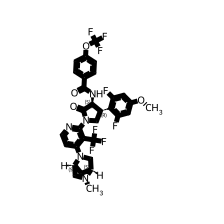 COc1cc(F)c([C@@H]2CN(c3nccc(N4C[C@@H]5C[C@H]4CN5C)c3C(F)(F)F)C(=O)[C@H]2NC(=O)c2ccc(OC(F)(F)F)cc2)c(F)c1